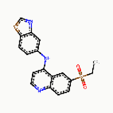 O=S(=O)(CC(F)(F)F)c1ccc2nccc(Nc3ccc4scnc4c3)c2c1